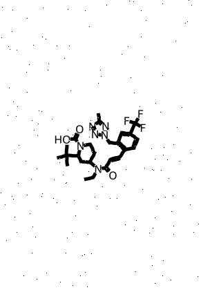 CCN(C(=O)C=Cc1ccc(C(F)(F)F)cc1Cn1nnc(C)n1)C1CCN(C(=O)O)C(C(C)(C)C)C1